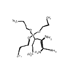 CCCO[Si](OCCC)(OCCC)C(CC)C(N)=C(N)N